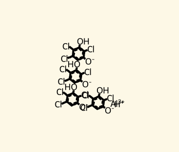 [Al+3].[H+].[O-]c1cc(Cl)c(Cl)c(O)c1Cl.[O-]c1cc(Cl)c(Cl)c(O)c1Cl.[O-]c1cc(Cl)c(Cl)c(O)c1Cl.[O-]c1cc(Cl)c(Cl)c(O)c1Cl